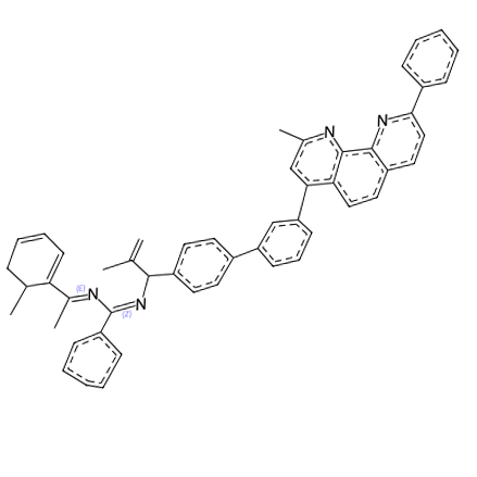 C=C(C)C(/N=C(\N=C(/C)C1=CC=CCC1C)c1ccccc1)c1ccc(-c2cccc(-c3cc(C)nc4c3ccc3ccc(-c5ccccc5)nc34)c2)cc1